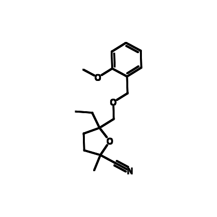 CCC1(COCc2ccccc2OC)CCC(C)(C#N)O1